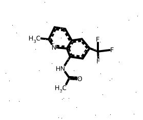 CC(=O)Nc1cc(C(F)(F)F)cc2ccc(C)nc12